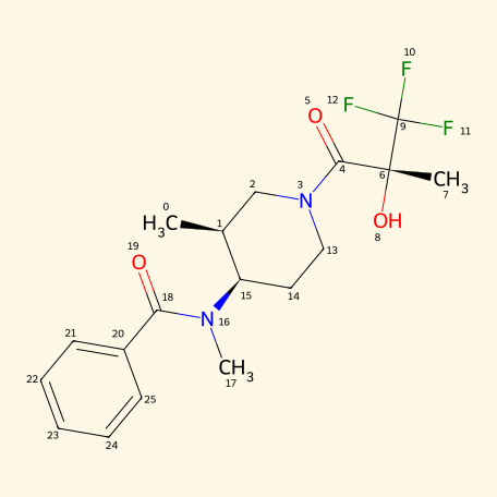 C[C@H]1CN(C(=O)[C@@](C)(O)C(F)(F)F)CC[C@H]1N(C)C(=O)c1ccccc1